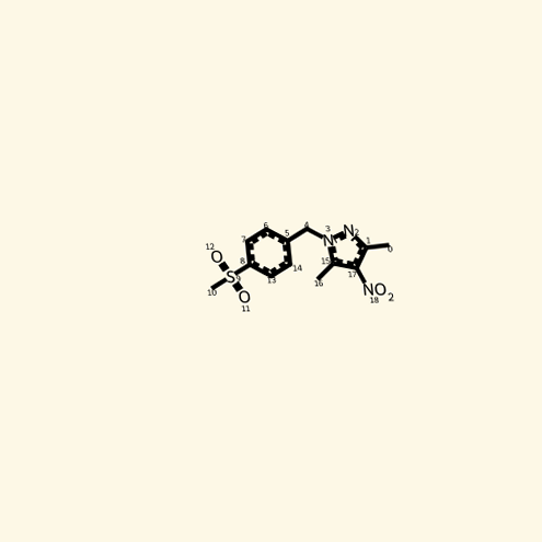 Cc1nn(Cc2ccc(S(C)(=O)=O)cc2)c(C)c1[N+](=O)[O-]